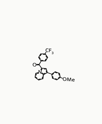 COc1ccc(-c2cc(C(=O)c3ccc(C(F)(F)F)cc3)n3ccccc23)cc1